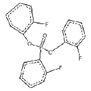 O=P(Oc1ccccc1F)(Oc1ccccc1F)c1ccccc1F